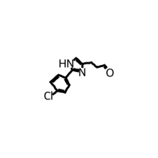 O=CCCc1c[nH]c(-c2ccc(Cl)cc2)n1